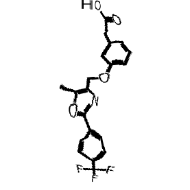 Cc1oc(-c2ccc(C(F)(F)F)cc2)nc1COc1cccc(CC(=O)O)c1